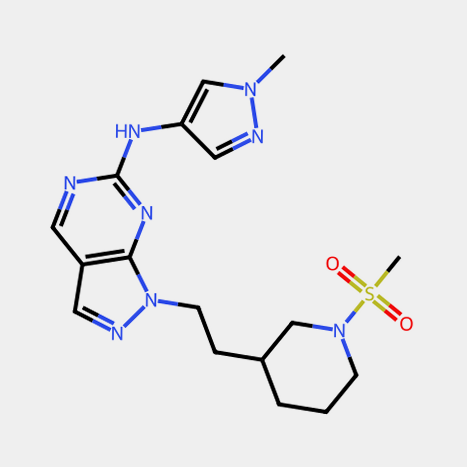 Cn1cc(Nc2ncc3cnn(CCC4CCCN(S(C)(=O)=O)C4)c3n2)cn1